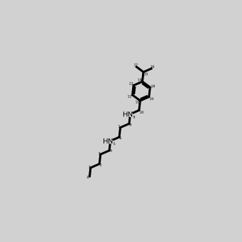 CCCCCNCCCNCc1ccc(C(C)C)cc1